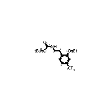 CCOc1cc(C(F)(F)F)ccc1CCNC(=O)OC(C)(C)C